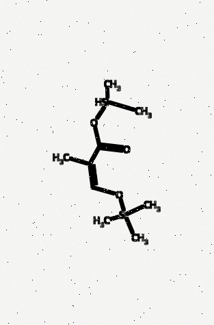 CC(=CO[Si](C)(C)C)C(=O)O[SiH](C)C